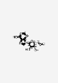 Oc1ncnc2c1ncn2[C@@H]1O[C@H](COCl)[C@@H](O)[C@H]1O